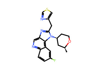 C[C@H]1C[C@@H](n2c(Cc3cscn3)nc3cnc4ccc(F)cc4c32)CCO1